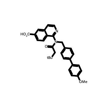 COc1ccc(-c2ccc(CN(C(=O)CC(C)(C)C)c3nccc4cc(C(=O)O)ccc34)cc2)cc1